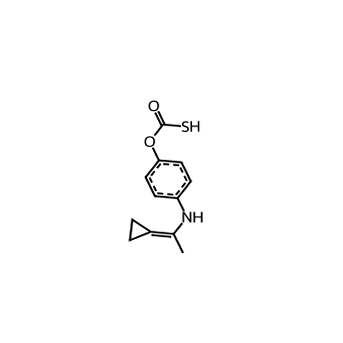 CC(Nc1ccc(OC(=O)S)cc1)=C1CC1